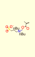 C=C(C)C(=O)OC[N+](CCCC)(CCCC)CCCS(=O)(=O)[O-]